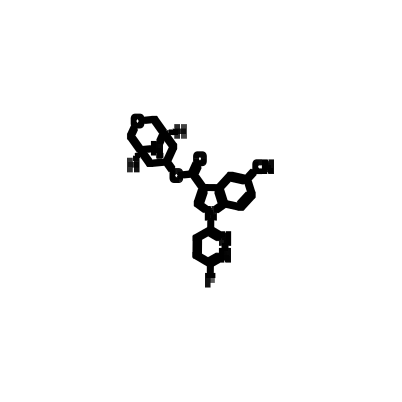 CN1[C@@H]2COC[C@H]1CC(OC(=O)c1cn(-c3ccc(F)nn3)c3ccc(C#N)cc13)C2